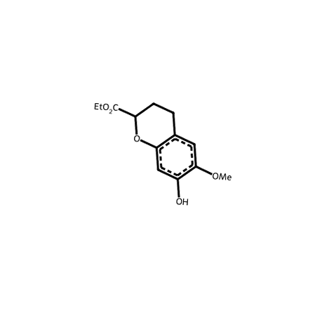 CCOC(=O)C1CCc2cc(OC)c(O)cc2O1